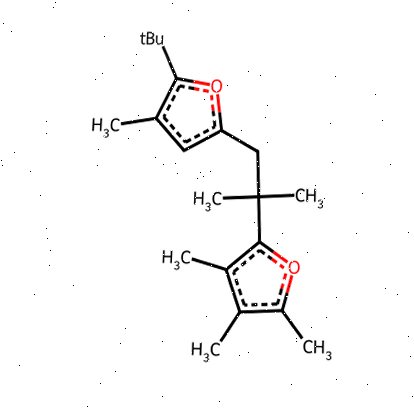 Cc1cc(CC(C)(C)c2oc(C)c(C)c2C)oc1C(C)(C)C